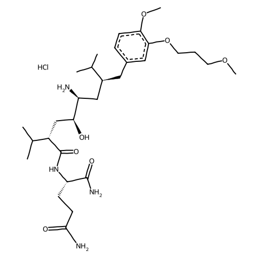 COCCCOc1cc(C[C@@H](C[C@H](N)[C@@H](O)C[C@H](C(=O)N[C@@H](CCC(N)=O)C(N)=O)C(C)C)C(C)C)ccc1OC.Cl